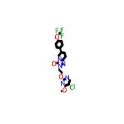 COc1nc(OCCn2nc3ccc(-c4ccc(OC(F)(F)F)cc4)cn3c2=O)ncc1Cl